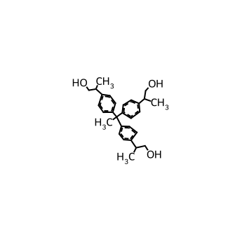 CC(CO)c1ccc(C(C)(c2ccc(C(C)CO)cc2)c2ccc(C(C)CO)cc2)cc1